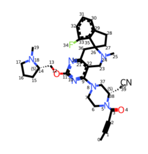 CC#CC(=O)N1CCN(c2nc(OC[C@@H]3CCCN3C)nc3c2CN(C)C2(CCc4cccc(F)c42)C3)C[C@@H]1CC#N